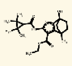 CCOC(=O)c1c(NC(=O)C2C(C)(C)C2(C)C)sc2c1C1(C)CCC2(O)CC1